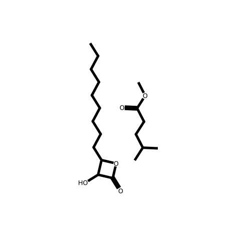 CCCCCCCCCC1OC(=O)C1O.COC(=O)CCC(C)C